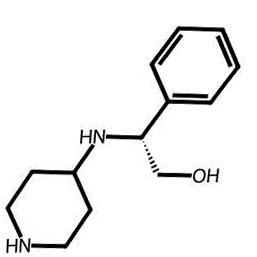 OC[C@H](NC1CCNCC1)c1ccccc1